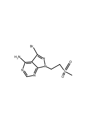 CS(=O)(=O)CCn1nc(Br)c2c(N)ncnc21